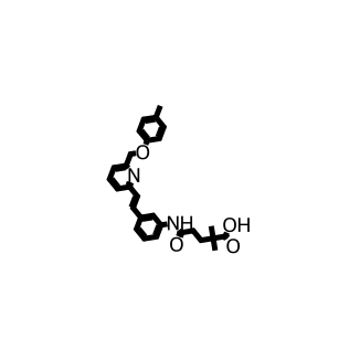 Cc1ccc(OCc2cccc(C=Cc3cccc(NC(=O)CCC(C)(C)C(=O)O)c3)n2)cc1